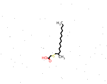 CCCCCCCCCCCCC(C)CSCC(=O)O